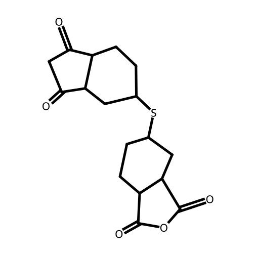 O=C1CC(=O)C2CC(SC3CCC4C(=O)OC(=O)C4C3)CCC12